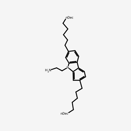 CCCCCCCCCCCCCCCc1ccc2c3ccc(CCCCCCCCCCCCCCC)cc3n(CCN)c2c1